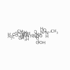 CCCNC(=O)CNC(=O)CNC(=O)C(CCCNC(=N)NS(=O)(=O)c1c(C)c(C)c2c(c1C)CC(C)(C)O2)NC(=O)CCC(=O)O